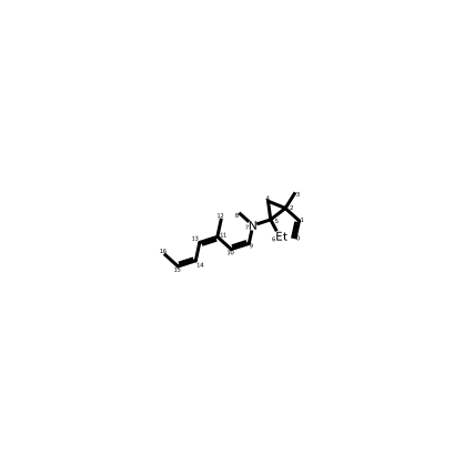 C=CC1(C)CC1(CC)N(C)\C=C/C(C)=C\C=C/C